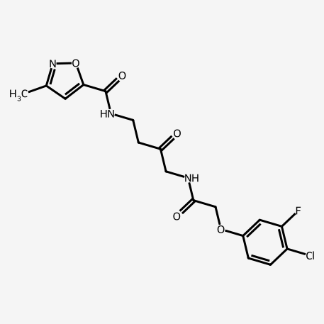 Cc1cc(C(=O)NCCC(=O)CNC(=O)COc2ccc(Cl)c(F)c2)on1